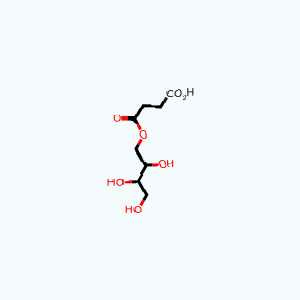 O=C(O)CCC(=O)OCC(O)C(O)CO